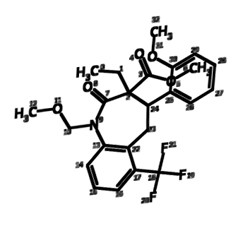 CCC1(C(=O)OC)C(=O)N(COC)c2cccc(C(F)(F)F)c2CC1c1ccccc1OC